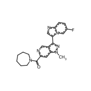 Cn1nc(-c2cnc3ccc(F)cn23)c2cnc(C(=O)N3CCCCCC3)cc21